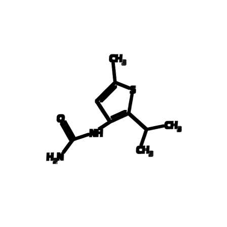 Cc1cc(NC(N)=O)c(C(C)C)s1